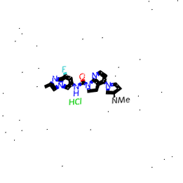 CN[C@@H]1CCN(c2ccnc3c2CCN3C(=O)Nc2cc(F)c3nc(C)cn3c2)C1.Cl